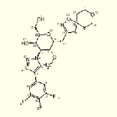 CO[C@@H]1[C@@H](n2cc(-c3cc(F)c(F)c(F)c3)nn2)[C@@H](O)[C@@H](CO)O[C@@H]1CC1=NOC2(CCOCC2)C1